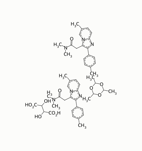 CC1OC(C)OC(C)O1.Cc1ccc(-c2nc3ccc(C)cn3c2CC(=O)N(C)C)cc1.Cc1ccc(-c2nc3ccc(C)cn3c2CC(=O)N(C)C)cc1.O=C(O)C(O)C(O)C(=O)O